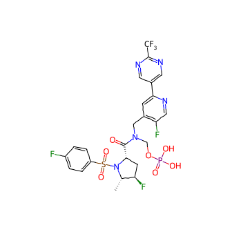 C[C@H]1[C@H](F)C[C@@H](C(=O)N(COP(=O)(O)O)Cc2cc(-c3cnc(C(F)(F)F)nc3)ncc2F)N1S(=O)(=O)c1ccc(F)cc1